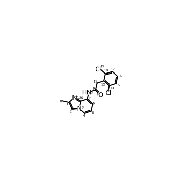 Cc1cn2cccc(NC(=O)Cc3c(Cl)cccc3Cl)c2n1